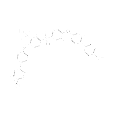 O=S(=O)(O)c1cc(S(=O)(=O)c2ccc(Oc3ccc(-c4ccc(O)cc4)cc3)cc2)ccc1Oc1ccc(-c2ccc(O)cc2)cc1